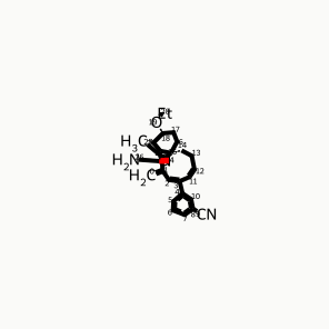 C=C1/C=C(c2cccc(C#N)c2)\C=C/CC[C@]2(CC[C@@H](OCC)CC2)C12N=C(N)N(C)O2